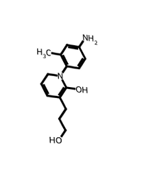 Cc1cc(N)ccc1N1CC=CC(CCCO)=C1O